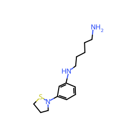 NCCCCCNc1cccc(N2CCCS2)c1